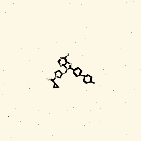 C=C(C1CC1)N1CC[C@@H](Cn2c(-c3ccc(-c4ccc(F)cc4)cc3)nc3c(Cl)ncnc32)C1